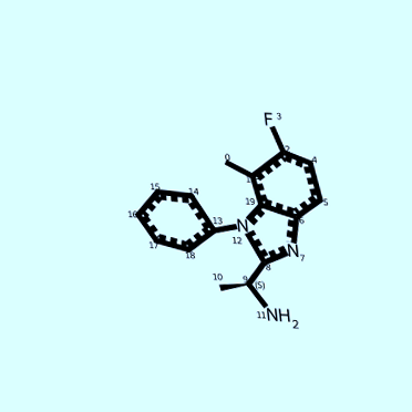 Cc1c(F)ccc2nc([C@H](C)N)n(-c3ccccc3)c12